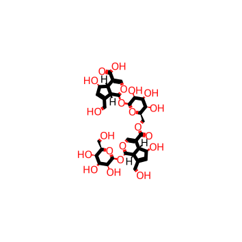 O=C(O)C1=CO[C@@H](O[C@@H]2O[C@H](COC(=O)C3=CO[C@@H](O[C@@H]4O[C@H](CO)[C@@H](O)[C@H](O)[C@H]4O)[C@@H]4C(CO)=C[C@H](O)[C@H]34)[C@@H](O)[C@H](O)[C@H]2O)[C@@H]2C(CO)=C[C@H](O)[C@H]12